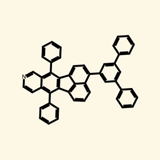 c1ccc(-c2cc(-c3ccccc3)cc(-c3ccc4c5c(cccc35)-c3c-4c(-c4ccccc4)c4cnccc4c3-c3ccccc3)c2)cc1